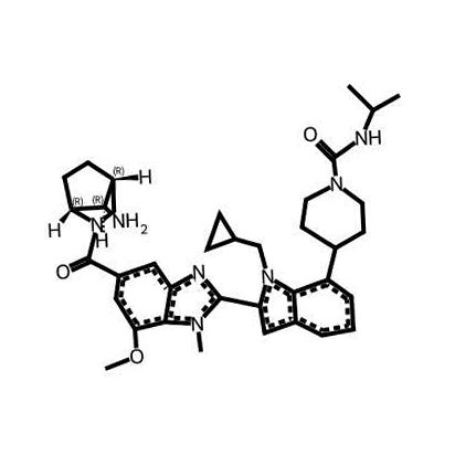 COc1cc(C(=O)N2C[C@H]3CC[C@@H]2[C@@H]3N)cc2nc(-c3cc4cccc(C5CCN(C(=O)NC(C)C)CC5)c4n3CC3CC3)n(C)c12